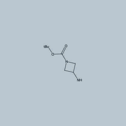 CC(C)(C)OC(=O)N1CC([NH])C1